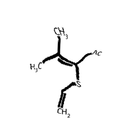 C=CSC(C(C)=O)=C(C)C